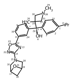 CC(C)c1ccc([C@](O)(c2cccc(-c3nc(N4CC5CC(C4)O5)no3)c2)C2(C)CN(C)C2)cc1